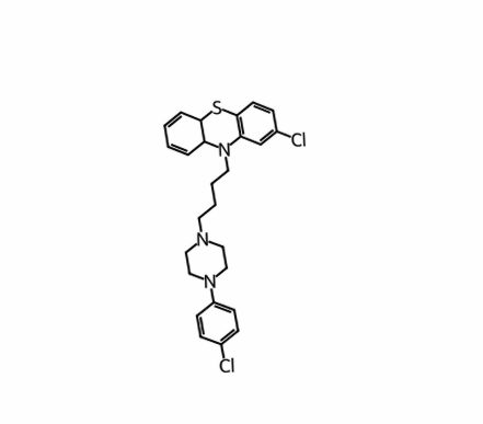 Clc1ccc(N2CCN(CCCCN3c4cc(Cl)ccc4SC4C=CC=CC43)CC2)cc1